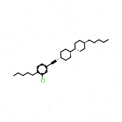 CCCCCc1ccc(C#C[C@H]2CC[C@H]([C@H]3CC[C@H](CCCCC)CC3)CC2)cc1Cl